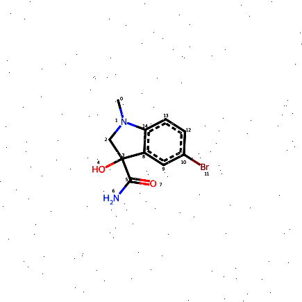 CN1CC(O)(C(N)=O)c2cc(Br)ccc21